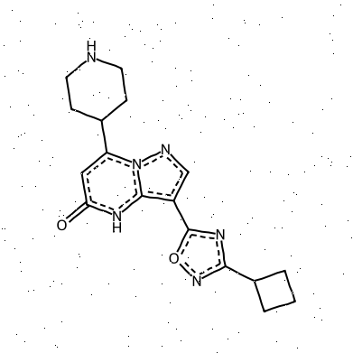 O=c1cc(C2CCNCC2)n2ncc(-c3nc(C4CCC4)no3)c2[nH]1